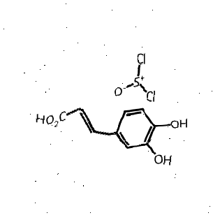 O=C(O)/C=C/c1ccc(O)c(O)c1.[O-][S+](Cl)Cl